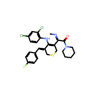 C/N=C(/C(=O)N1CCCCC1)C1=C(Nc2ccc(Cl)cc2Cl)/C(=C/c2ccc(F)cc2)CSC1